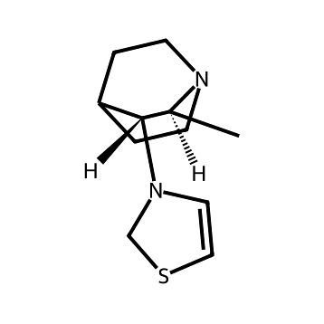 C[C@H]1[C@H](N2C=CSC2)C2CCN1CC2